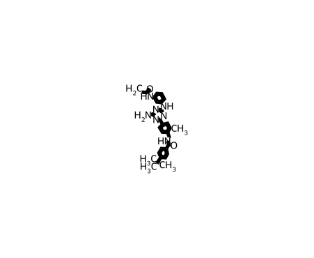 C=CC(=O)Nc1cccc(Nc2nc(N)nc(-c3ccc(CNC(=O)c4ccc(C(C)(C)C)cc4)c(C)c3)n2)c1